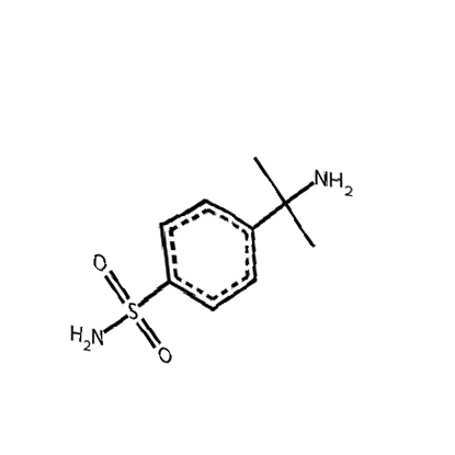 CC(C)(N)c1ccc(S(N)(=O)=O)cc1